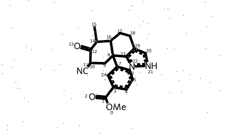 COC(=O)c1cccc(C23CC(C#N)C(=O)C(C)C2CCc2c[nH]nc23)c1